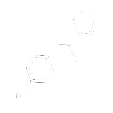 O=C(Oc1ccc(Br)cc1)[C@@H]1CCCN1